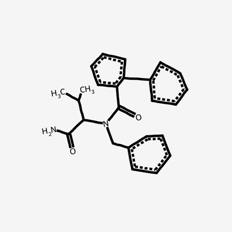 CC(C)C(C(N)=O)N(Cc1ccccc1)C(=O)c1ccccc1-c1ccccc1